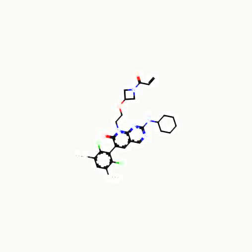 C=CC(=O)N1CC(OCCn2c(=O)c(-c3c(Cl)c(OC)cc(OC)c3Cl)cc3cnc(NC4CCCCC4)nc32)C1